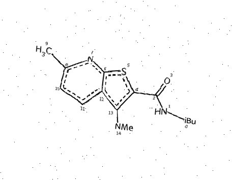 CCC(C)NC(=O)c1sc2nc(C)ccc2c1NC